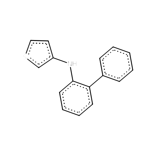 [c]1sccc1Nc1ccccc1-c1ccccc1